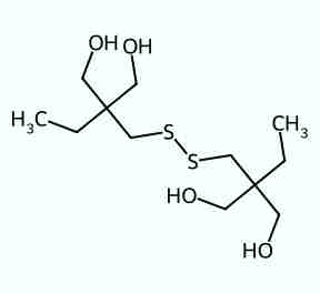 CCC(CO)(CO)CSSCC(CC)(CO)CO